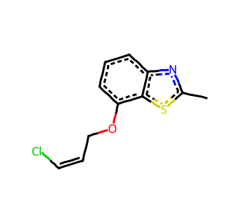 Cc1nc2cccc(OC/C=C\Cl)c2s1